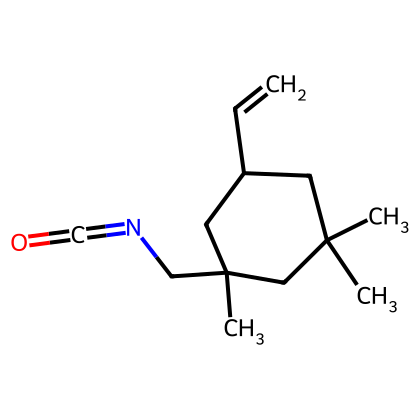 C=CC1CC(C)(C)CC(C)(CN=C=O)C1